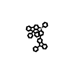 c1ccc(C2c3ccccc3-c3cc(-c4ccc5c(c4)c4c6c(ccc4n5-c4ccccc4)-c4ccccc4C6(c4ccccc4)c4ccccc4)ccc32)cc1